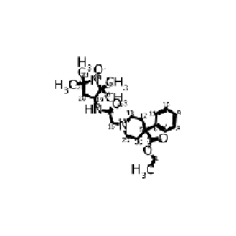 CCOC(=O)C1(c2ccccc2)CCN(CC(=O)NC2CC(C)(C)N([O])C2(C)C)CC1